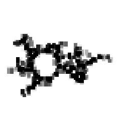 CCOCCNC(=O)[C@H](CSC(C)(C)C)NC(=O)[C@H](Cc1ccccc1)NC(=O)[C@@H]1CSCC(=O)N[C@@H](CCCCN)C(=O)N[C@@H](CSC(C)(C)C)C(=O)N[C@@H](CCCNC(=N)N)C(=O)NCC(=O)N[C@@H](CC(=O)O)C(=O)N1